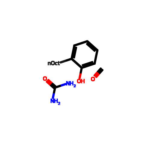 C=O.CCCCCCCCc1ccccc1O.NC(N)=O